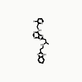 CC(Cc1nc2c(NCc3ncccc3F)ncnc2s1)NCCc1nc2ccccc2[nH]1